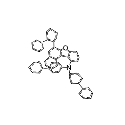 c1ccc(-c2ccc(N(c3ccc(-c4ccccc4)cc3)c3cccc4oc5c(-c6ccccc6-c6ccccc6)cc6ccccc6c5c34)cc2)cc1